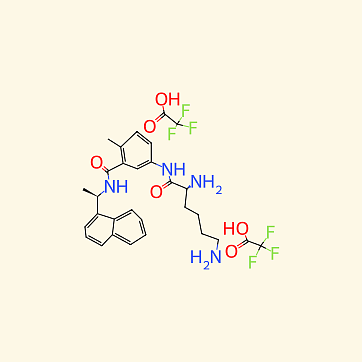 Cc1ccc(NC(=O)[C@@H](N)CCCCN)cc1C(=O)N[C@H](C)c1cccc2ccccc12.O=C(O)C(F)(F)F.O=C(O)C(F)(F)F